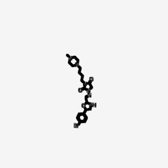 CN1CCN(CCCCN2C(=O)CN(N=CC3NCC(c4ccc(Br)cc4)O3)C2=O)CC1